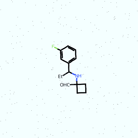 [CH2]CC(NC1(C=O)CCC1)c1cccc(F)c1